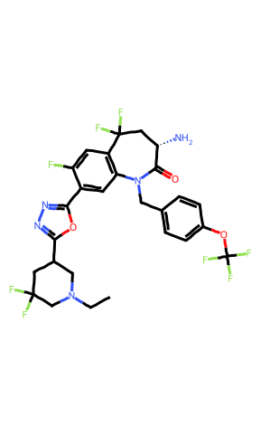 CCN1CC(c2nnc(-c3cc4c(cc3F)C(F)(F)C[C@H](N)C(=O)N4Cc3ccc(OC(F)(F)F)cc3)o2)CC(F)(F)C1